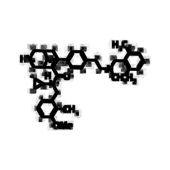 COc1cccc(CN(C(=O)C2=C(c3ccc(CCN(C)Cc4c(C)cccc4C)cc3)CC3CNC[C@H]2N3)C2CC2)c1C